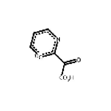 O=C(O)C(=O)c1[13cH]cccn1